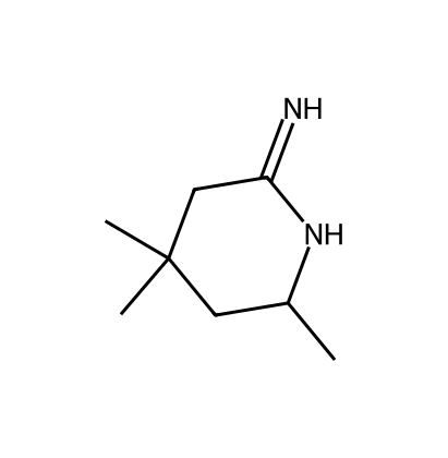 CC1CC(C)(C)CC(=N)N1